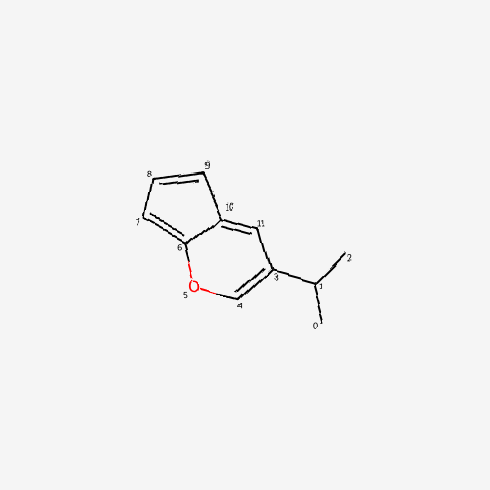 CC(C)c1coc2cccc-2c1